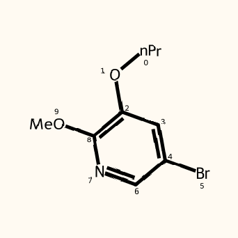 CCCOc1cc(Br)cnc1OC